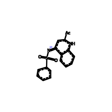 CC(=O)c1c/c(=N/S(=O)(=O)c2ccccc2)c2ccccc2[nH]1